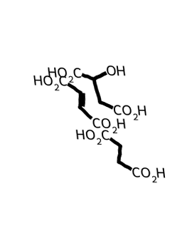 O=C(O)C=CC(=O)O.O=C(O)CC(O)C(=O)O.O=C(O)CCC(=O)O